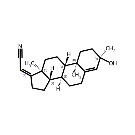 C[C@]1(O)C=C2CC[C@@H]3[C@H](CC[C@]4(C)/C(=C\C#N)CC[C@@H]34)[C@@]2(C)CC1